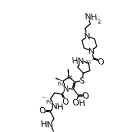 CNCC(=O)N[C@H](C)CC(=O)N1C(C(=O)O)=C(SC2CN[C@H](C(=O)N3CCN(CCN)CC3)C2)[C@H](C)[C@@H]1C